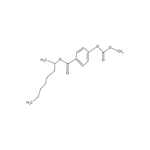 CCCCCCC(C)OC(=O)c1ccc(OC(=O)OC)cc1